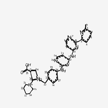 Cc1cccc(-c2nccc(Nc3ccnc(Nc4ccc(CN5CC(C(=O)O)C5N5CCCCC5)cc4)n3)n2)n1